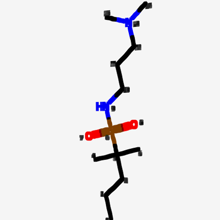 CCCC(C)(C)S(=O)(=O)NCCCN(C)C